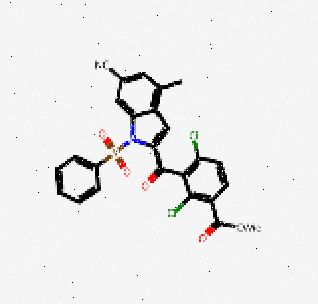 COC(=O)c1ccc(Cl)c(C(=O)c2cc3c(C)cc(C#N)cc3n2S(=O)(=O)c2ccccc2)c1Cl